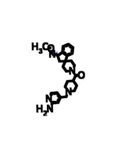 CO/N=C1/CC2(CCN(C(=O)C3CCN(Cc4ccnc(N)c4)CC3)CC2)c2ccccc21